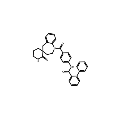 O=C(Nc1ccc(C(=O)N2CCC3(CCCNC3=O)Cc3ccccc32)cc1)c1ccccc1-c1ccccc1